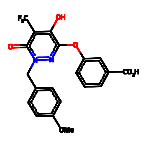 COc1ccc(Cn2nc(Oc3cccc(C(=O)O)c3)c(O)c(C(F)(F)F)c2=O)cc1